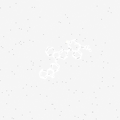 C=C1/C=C\C=C/N(c2ccc3c(c2)c2ccccc2n3-c2ccc3sc4ccccc4c3c2)c2ccccc21